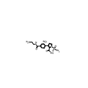 Cl.NCCNC(=O)c1ccc(-c2ccn(S(N)(=O)=O)c2C(=O)O)cc1